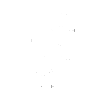 O=C(O)C(S)SC1CC(O)C(SC(S)C(=O)O)CC1O